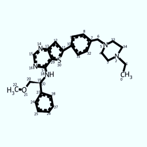 CCN1CCN(Cc2ccc(-c3cc4ncnc(N[C@H](COC)c5ccccc5)c4s3)cc2)CC1